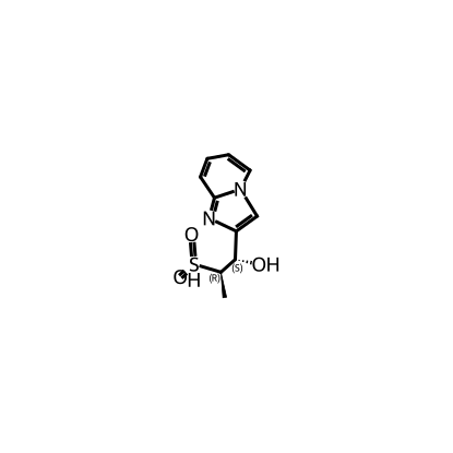 C[C@H]([C@@H](O)c1cn2ccccc2n1)[SH](=O)=O